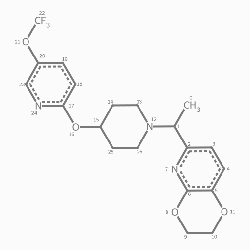 CC(c1ccc2c(n1)OCCO2)N1CCC(Oc2ccc(OC(F)(F)F)cn2)CC1